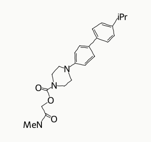 CNC(=O)COC(=O)N1CCN(c2ccc(-c3ccc(C(C)C)cc3)cc2)CC1